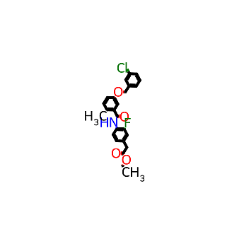 CCOC(=O)Cc1ccc(NC(=O)c2cc(OCc3cccc(Cl)c3)ccc2C)c(F)c1